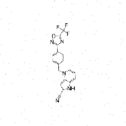 N#CC1C=C2C(=CC=CN2Cc2ccc(-c3noc(C(F)(F)F)n3)cc2)N1